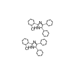 Clc1ccccc1-c1nc(-c2ccccc2)c(-c2ccccc2)[nH]1.Clc1ccccc1-c1nc(-c2ccccc2)c(-c2ccccc2)[nH]1